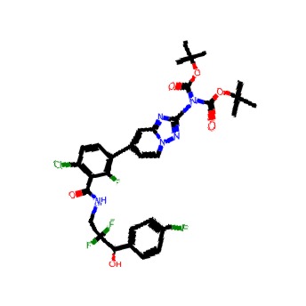 CC(C)(C)OC(=O)N(C(=O)OC(C)(C)C)c1nc2cc(-c3ccc(Cl)c(C(=O)NCC(F)(F)[C@H](O)c4ccc(F)cc4)c3F)ccn2n1